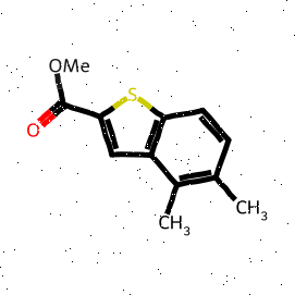 COC(=O)c1cc2c(C)c(C)ccc2s1